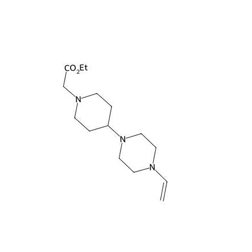 C=CN1CCN(C2CCN(CC(=O)OCC)CC2)CC1